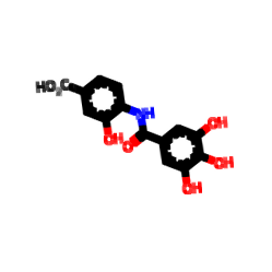 O=C(O)c1ccc(NC(=O)c2cc(O)c(O)c(O)c2)c(O)c1